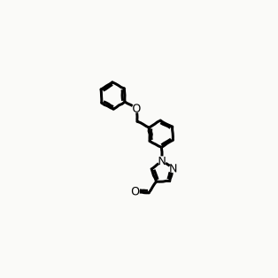 O=Cc1cnn(-c2cccc(COc3ccccc3)c2)c1